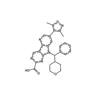 Cc1noc(C)c1-c1cnc2c3cnc(C(=O)O)nc3n(C(c3ccccc3)C3CCOCC3)c2c1